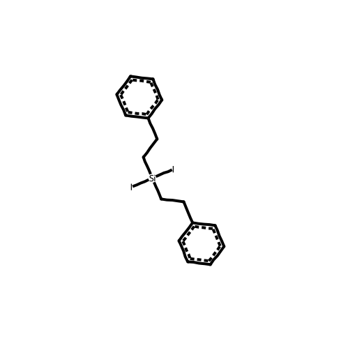 I[Si](I)(CCc1ccccc1)CCc1ccccc1